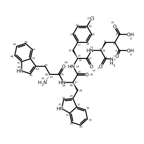 NC(=O)[C@H](CC(C(=O)O)C(=O)O)NC(=O)[C@H](Cc1ccc(Cl)cc1)NC(=O)[C@@H](Cc1c[nH]c2ccccc12)NC(=O)[C@H](N)Cc1c[nH]c2ccccc12